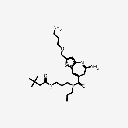 CCCN(CCCNC(=O)CC(C)(C)C)C(=O)C1=Cc2sc(COCCCN)cc2N=C(N)C1